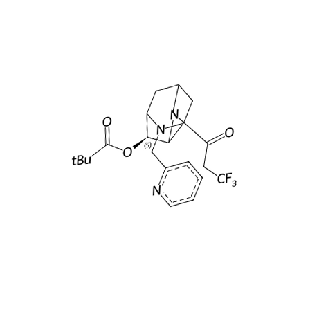 CC(C)(C)C(=O)O[C@@H]1C2C3CC(CC1N3Cc1ccccn1)CN2C(=O)CC(F)(F)F